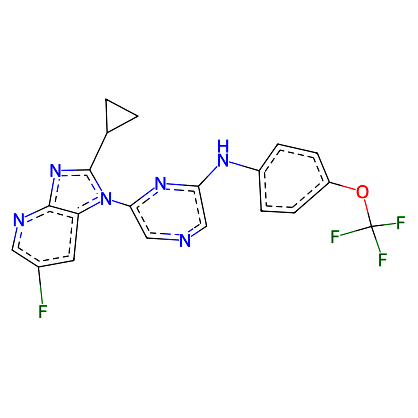 Fc1cnc2nc(C3CC3)n(-c3cncc(Nc4ccc(OC(F)(F)F)cc4)n3)c2c1